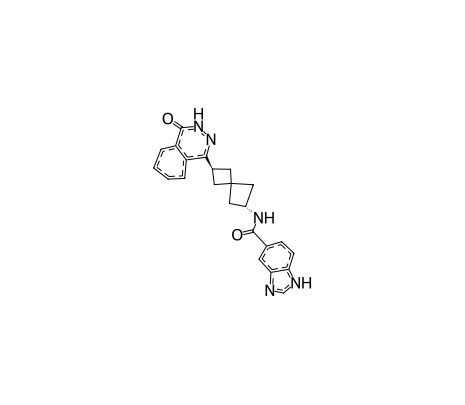 O=C(N[C@H]1CC2(C1)C[C@H](c1n[nH]c(=O)c3ccccc31)C2)c1ccc2[nH]cnc2c1